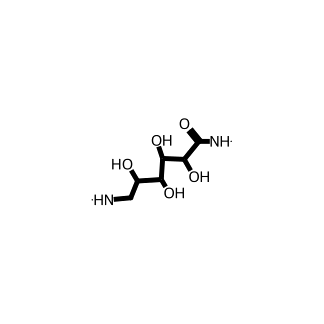 [NH]CC(O)C(O)C(O)C(O)C([NH])=O